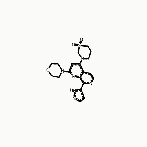 O=S1(=O)CCCN(c2cc(N3CCOCC3)nc3c(-c4ccn[nH]4)nccc23)C1